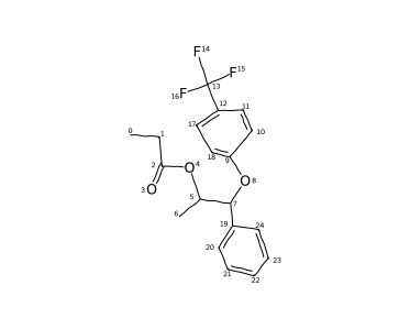 CCC(=O)OC(C)C(Oc1ccc(C(F)(F)F)cc1)c1ccccc1